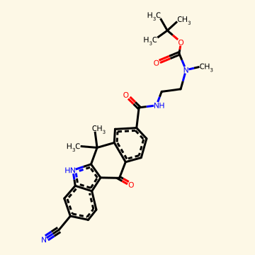 CN(CCNC(=O)c1ccc2c(c1)C(C)(C)c1[nH]c3cc(C#N)ccc3c1C2=O)C(=O)OC(C)(C)C